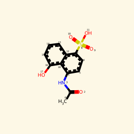 CC(=O)Nc1ccc(S(=O)(=O)O)c2cccc(O)c12